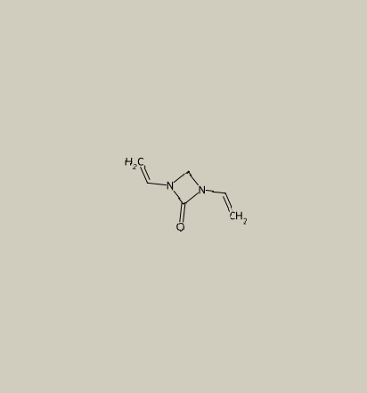 C=CN1CN(C=C)C1=O